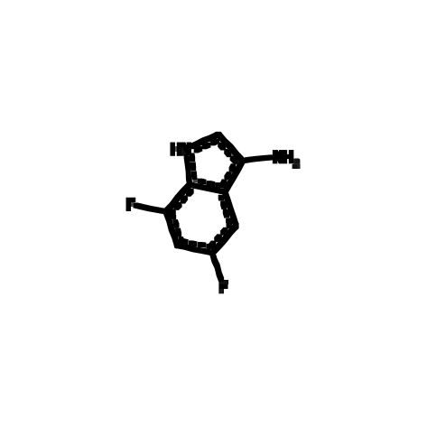 Nc1c[nH]c2c(F)cc(F)cc12